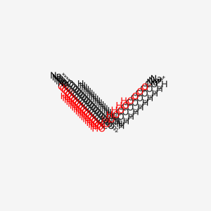 O=C(O)O.O=C(O)O.O=C(O)O.O=C(O)O.O=C(O)O.O=C(O)O.O=C(O)O.O=C(O)O.O=C(O)O.O=C(O)O.O=C(O)O.O=C(O)O.O=C(O)O.O=C(O)O.O=C(O)O.O=C(O)O.O=C(O)O.O=C(O)O.O=C(O)O.O=C(O)O.O=C(O)O.O=C(O)O.O=C(O)O.O=C(O)O.O=C([O-])O.O=C([O-])O.O=C([O-])O.O=C([O-])O.O=C([O-])O.O=C([O-])O.O=C([O-])O.O=C([O-])O.[Na+].[Na+].[Na+].[Na+].[Na+].[Na+].[Na+].[Na+]